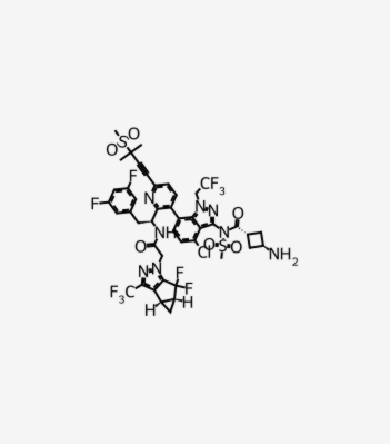 CC(C)(C#Cc1ccc(-c2ccc(Cl)c3c(N(C(=O)[C@H]4C[C@H](N)C4)S(C)(=O)=O)nn(CC(F)(F)F)c23)c([C@H](Cc2cc(F)cc(F)c2)NC(=O)Cn2nc(C(F)(F)F)c3c2C(F)(F)[C@@H]2C[C@H]32)n1)S(C)(=O)=O